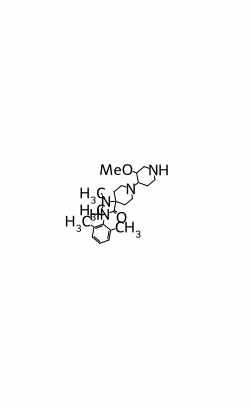 COC1CNCCC1N1CCC(C(=O)Nc2c(C)cccc2C)(N(C)C)CC1